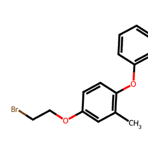 Cc1cc(OCCBr)ccc1Oc1ccccc1